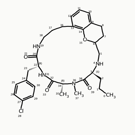 CCC[C@@H]1NCC2CCc3cccc(c3O2)CCCNC(=O)[C@@H](Cc2ccc(Cl)cc2)NC(=O)[C@@H](C)N(C)C1=O